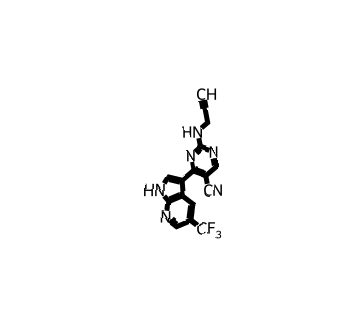 C#CCNc1ncc(C#N)c(-c2c[nH]c3ncc(C(F)(F)F)cc23)n1